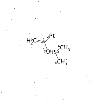 C=[C]([Pt])O[SH](C)C